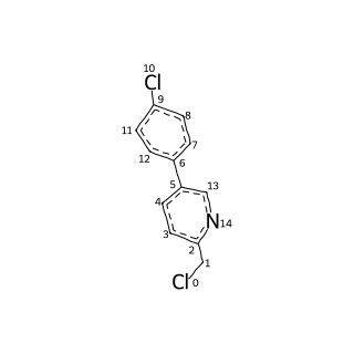 ClCc1ccc(-c2ccc(Cl)cc2)cn1